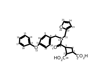 O=C(O)C1CC(C(=O)N(Cc2ccc(Oc3ccccc3)cc2)Cc2ccco2)C1C(=O)O